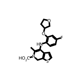 CC1=C(Nc2ccc(F)cc2OC2CCOC2)c2ccsc2CN1C(=O)O